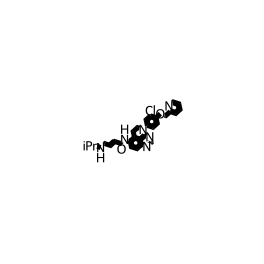 CC(C)NC/C=C/C(=O)Nc1ccc2ncnc3c2c1CCN3c1ccc(OCc2ccccn2)c(Cl)c1